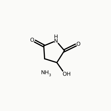 N.O=C1CC(O)C(=O)N1